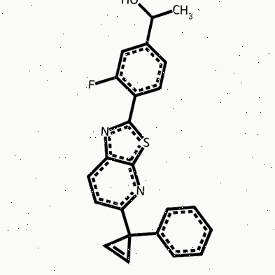 CC(O)c1ccc(-c2nc3ccc(C4(c5ccccc5)C=C4)nc3s2)c(F)c1